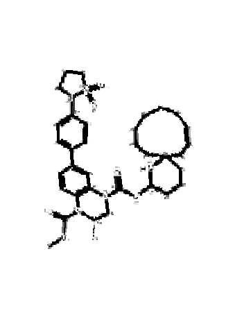 COC(=O)N1c2ccc(-c3ccc(N4CCCS4(=O)=O)cc3)cc2N(C(=O)OC2CCCC3(C/C=C\CCCCCC3)N2)C[C@@H]1C